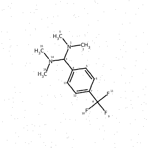 CN(C)C(c1ccc(C(F)(F)F)cc1)N(C)C